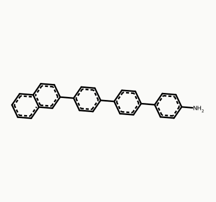 Nc1ccc(-c2ccc(-c3ccc(-c4ccc5ccccc5c4)cc3)cc2)cc1